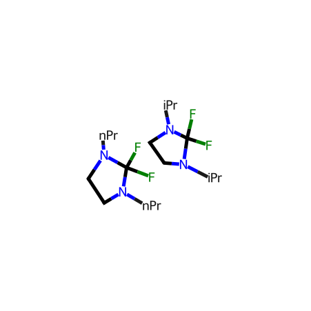 CC(C)N1CCN(C(C)C)C1(F)F.CCCN1CCN(CCC)C1(F)F